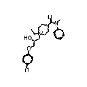 CC[N+]1(CC(O)COc2ccc(Cl)cc2)CCN(C(=O)N(C)c2ccccc2)CC1